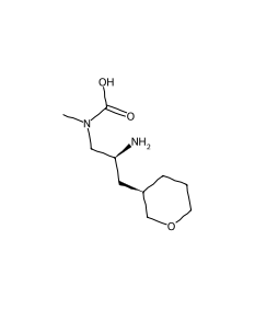 CN(C[C@@H](N)C[C@H]1CCCOC1)C(=O)O